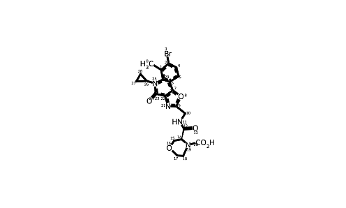 Cc1c(Br)ccc2c3oc(CNC(=O)[C@@H]4COCCN4C(=O)O)nc3c(=O)n(C3CC3)c12